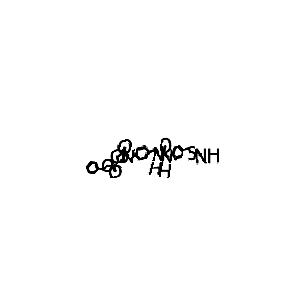 N=CSCc1ccc(NC(=O)NCc2ccc(N3CC(C(=O)OCc4ccccc4)OC3=O)cc2)cc1